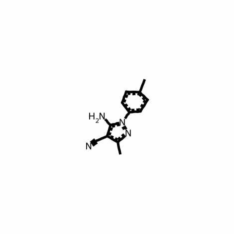 Cc1ccc(-n2nc(C)c(C#N)c2N)cc1